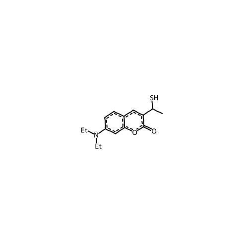 CCN(CC)c1ccc2cc(C(C)S)c(=O)oc2c1